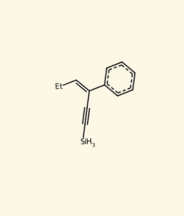 CCC=C(C#C[SiH3])c1ccccc1